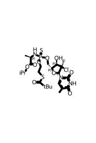 Cc1cn([C@@H]2O[C@H](COP(=S)(N[C@H](C)C(=O)OC(C)C)OCCSC(=O)C(C)(C)C)[C@@H](O)[C@@]2(F)Cl)c(=O)[nH]c1=O